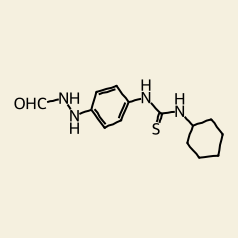 O=CNNc1ccc(NC(=S)NC2CCCCC2)cc1